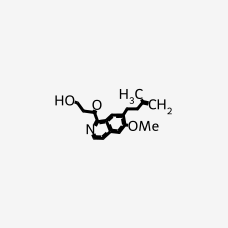 C=C(C)CCc1cc2c(C(=O)CCO)nccc2cc1OC